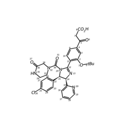 CC(C)(C)Oc1cc(C(=O)CC(=O)O)ccc1C1=N[C@@H](c2ccccn2)[C@@H](c2ccc(Cl)cc2)N1C(=O)N1CCNC(=O)C1